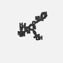 CCn1c(-c2nonc2N)nc2c(C#CC(C)(C)O)nc(OC[C@H](N)Cc3ccncc3)cc21